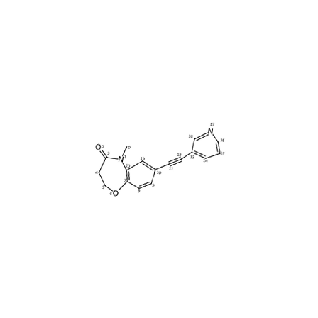 CN1C(=O)CCOc2ccc(C#Cc3cccnc3)cc21